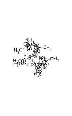 CCCCOn1c(C(=O)NCCCN(CCCC(C(=O)NCCOCCNC(=O)OC(C)(C)C)N(CCCNC(=O)c2ccc(OC)c(=O)n2OCCCC)C(=O)c2ccc(OC)c(=O)n2OCCCC)C(=O)c2ccc(OC)c(=O)n2OCCCC)ccc(OC)c1=O